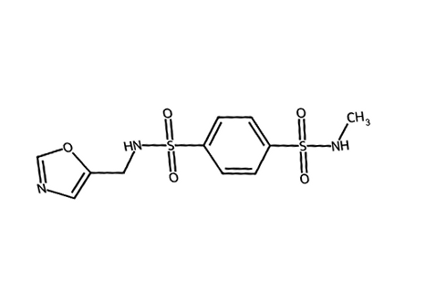 CNS(=O)(=O)c1ccc(S(=O)(=O)NCc2cnco2)cc1